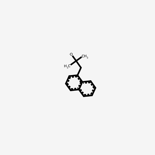 CC(C)([O])Cc1cccc2ccccc12